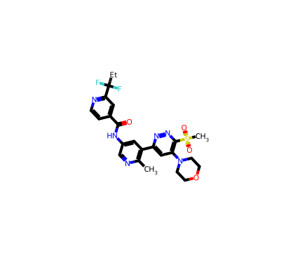 CCC(F)(F)c1cc(C(=O)Nc2cnc(C)c(-c3cc(N4CCOCC4)c(S(C)(=O)=O)nn3)c2)ccn1